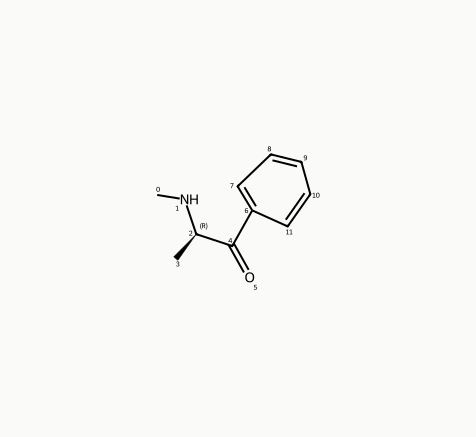 CN[C@H](C)C(=O)c1ccccc1